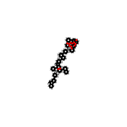 CC1(C)c2ccccc2-c2ccc(-c3ccc(N(c4ccc(-c5cccc6ccccc56)cc4)c4ccccc4-c4cccc5c4oc4ccc(-c6cccc7c(-c8ccc(N(c9ccccc9-c9cccc%10c9oc9ccccc9%10)c9cccc%10c9-c9ccccc9C%109c%10ccccc%10-c%10ccccc%109)cc8)cccc67)cc45)cc3)cc21